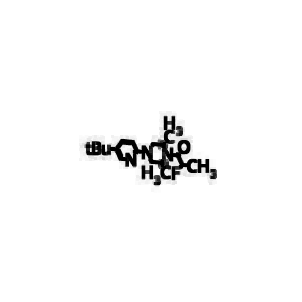 CC(F)C(=O)N1[C@H](C)CN(c2ccc(C(C)(C)C)cn2)C[C@@H]1C